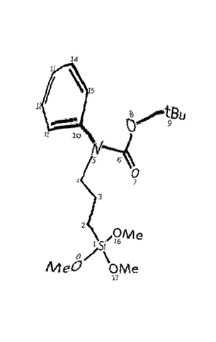 CO[Si](CCCN(C(=O)OC(C)(C)C)c1ccccc1)(OC)OC